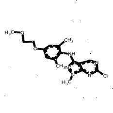 COCCOc1cc(C)c(Nc2nn(C)c3nc(Cl)ncc23)c(C)c1